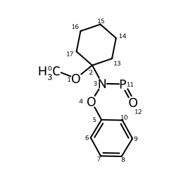 COC1(N(Oc2ccccc2)P=O)CCCCC1